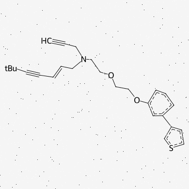 C#CCN(CC=CC#CC(C)(C)C)CCOCCOc1cccc(-c2ccsc2)c1